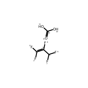 FC(F)=C(F)C(F)F.O=C(O)O